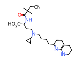 CC(C)(CC#N)C(=O)NC(CCN(CCCCc1ccc2c(n1)NCCC2)C1CC1)C(=O)O